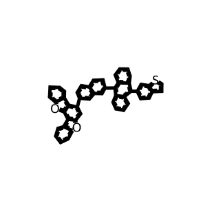 c1ccc2c(c1)oc1c2c(-c2ccc3ccc(-c4c5ccccc5c(-c5ccc6ccsc6c5)c5ccccc45)cc3c2)cc2oc3ccccc3c21